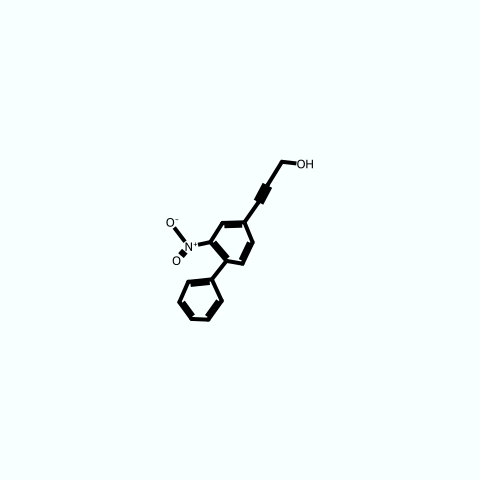 O=[N+]([O-])c1cc(C#CCO)ccc1-c1ccccc1